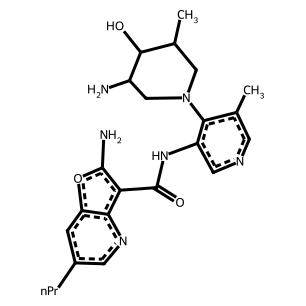 CCCc1cnc2c(C(=O)Nc3cncc(C)c3N3CC(C)C(O)C(N)C3)c(N)oc2c1